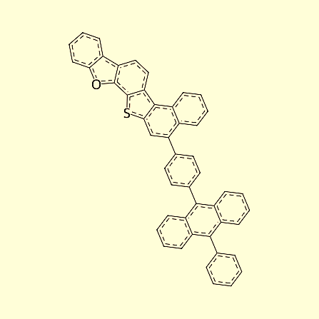 c1ccc(-c2c3ccccc3c(-c3ccc(-c4cc5sc6c(ccc7c8ccccc8oc76)c5c5ccccc45)cc3)c3ccccc23)cc1